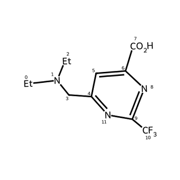 CCN(CC)Cc1cc(C(=O)O)nc(C(F)(F)F)n1